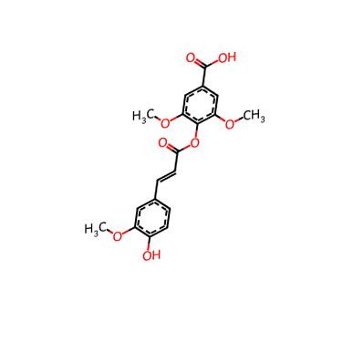 COc1cc(C=CC(=O)Oc2c(OC)cc(C(=O)O)cc2OC)ccc1O